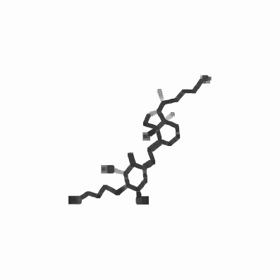 C=C1/C(=C\C=C2/CCC[C@]3(C)[C@@H]([C@H](C)CCCC(C)C)CC[C@@H]23)C[C@@H](O)[C@@H](CCCCO)[C@@H]1O